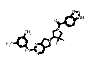 Cc1cc(C)cc(Nc2ncc3c(n2)CN(C2CN(C(=O)c4ccc5[nH]nnc5c4)CC2(F)F)C3)c1